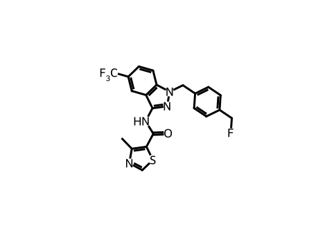 Cc1ncsc1C(=O)Nc1nn(Cc2ccc(CF)cc2)c2ccc(C(F)(F)F)cc12